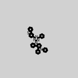 c1ccc(-c2nc(-c3ccc4sc5ccccc5c4c3)nc(-n3c4ccccc4c4c5c6ccccc6n(-c6ccccc6)c5ccc43)n2)cc1